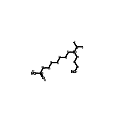 CC(C)N(CCCO)CCCCCCCC(=O)O